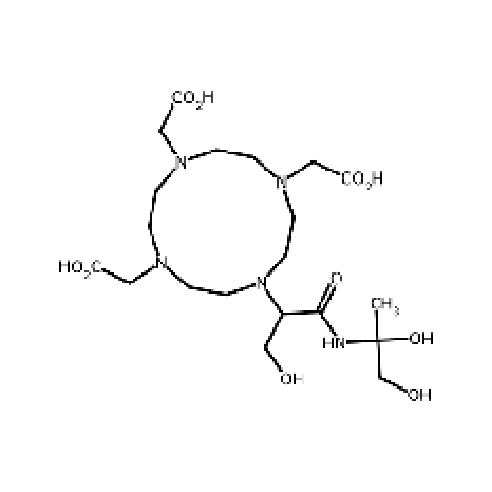 CC(O)(CO)NC(=O)C(CO)N1CCN(CC(=O)O)CCN(CC(=O)O)CCN(CC(=O)O)CC1